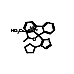 CC(OC1(c2sccc2C2CCCC2)c2ccccc2-c2ccccc21)[C@H](N)C(=O)O